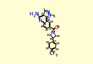 Cn1ncc2c(N)nc3ccc(C(=O)N4CC(c5ccc(C(F)(F)F)cc5)C4)cc3c21